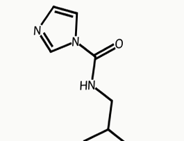 CC(C)CNC(=O)n1ccnc1